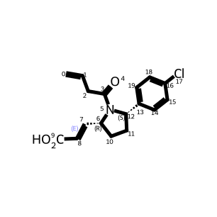 C=CCC(=O)N1[C@@H](/C=C/C(=O)O)CC[C@H]1c1ccc(Cl)cc1